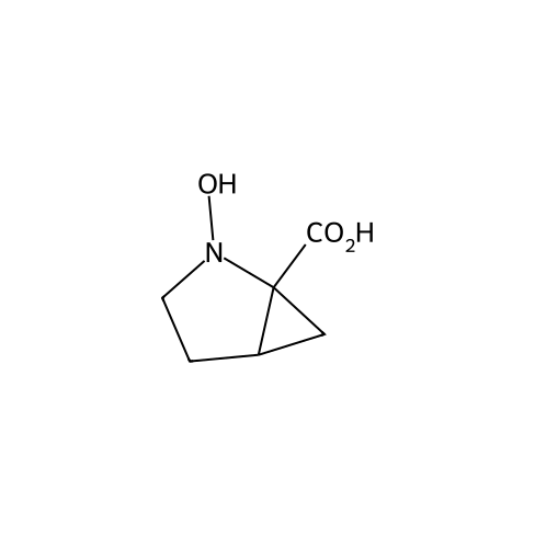 O=C(O)C12CC1CCN2O